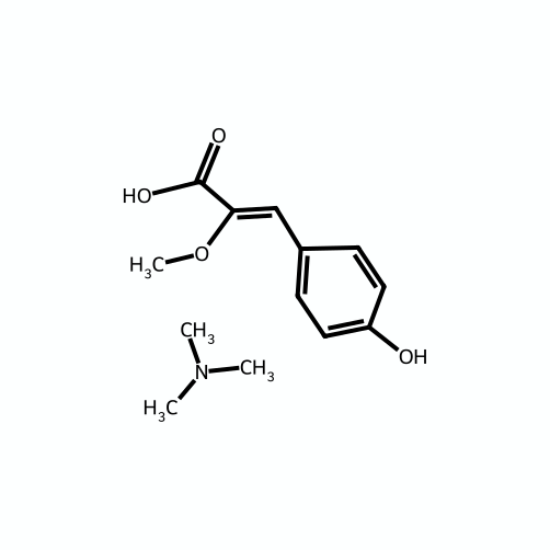 CN(C)C.CO/C(=C\c1ccc(O)cc1)C(=O)O